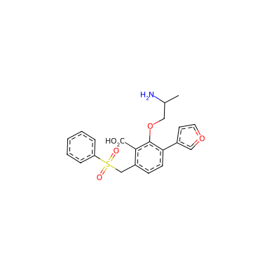 CC(N)COc1c(-c2ccoc2)ccc(CS(=O)(=O)c2ccccc2)c1C(=O)O